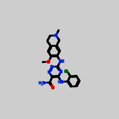 COc1cc2c(cc1Nc1nnc(C(N)=O)c(Nc3ccccc3Cl)n1)CN(C)CC2